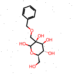 OC[C@H]1OC(O)[C@](O)(COCc2ccccc2)[C@@H](O)[C@@H]1O